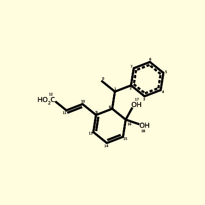 CC(c1ccccc1)C1C(/C=C/C(=O)O)=CC=CC1(O)O